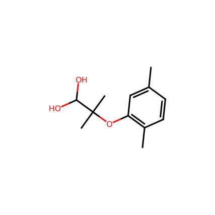 Cc1ccc(C)c(OC(C)(C)C(O)O)c1